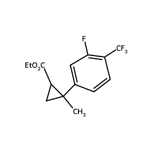 CCOC(=O)C1CC1(C)c1ccc(C(F)(F)F)c(F)c1